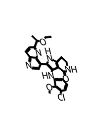 CCOC(C)c1ccc2nccc(-c3[nH]c4c(c3Nc3cccc(Cl)c3OC)C(=O)NCC4)c2n1